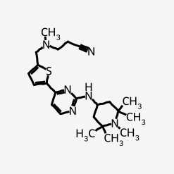 CN(CCC#N)Cc1ccc(-c2ccnc(NC3CC(C)(C)N(C)C(C)(C)C3)n2)s1